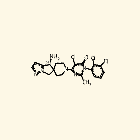 Cc1nc(N2CCC3(CC2)Cn2nccc2[C@H]3N)c(Cl)c(=O)n1-c1cccc(Cl)c1Cl